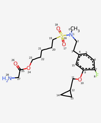 CN(CCc1ccc(F)c(OCC2CC2)c1)S(=O)(=O)CCCCCOC(=O)CN